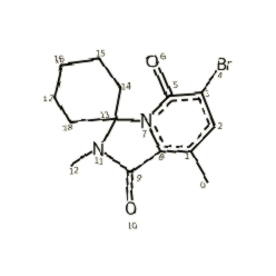 Cc1cc(Br)c(=O)n2c1C(=O)N(C)C21CCCCC1